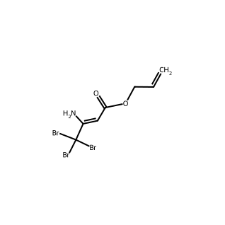 C=CCOC(=O)C=C(N)C(Br)(Br)Br